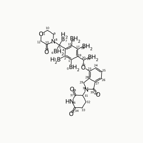 Bc1c(B)c(C(B)(B)N2CCOCC2=O)c(B)c(B)c1C(B)Oc1cccc2c1CN(C1CCC(=O)NC1=O)C2=O